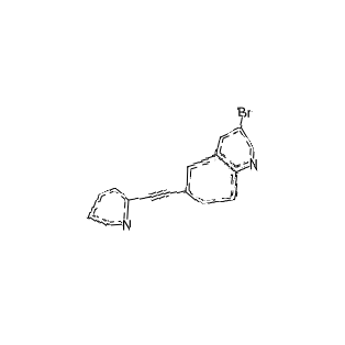 Brc1cnc2ccc(C#Cc3ccccn3)cc2c1